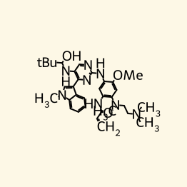 C=CC(=O)Nc1cc(Nc2ncc(NC(O)C(C)(C)C)c(-c3cn(C)c4ccccc34)n2)c(OC)cc1N(C)CCN(C)C